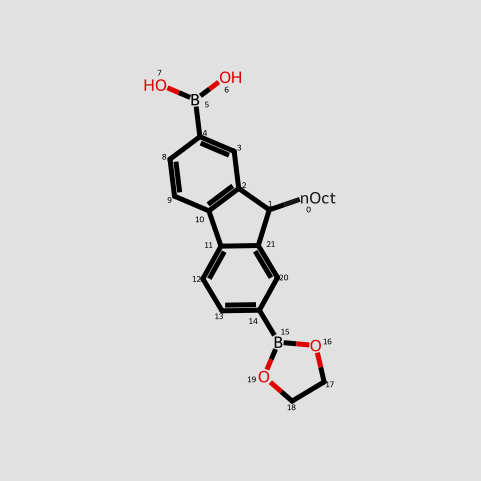 CCCCCCCCC1c2cc(B(O)O)ccc2-c2ccc(B3OCCO3)cc21